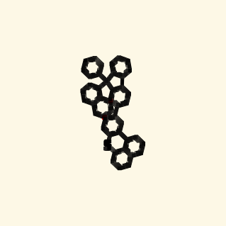 c1ccc(C2(c3cccc4ccccc34)c3ccccc3-c3ccc(-c4ccc5c(c4)-c4cccc6cccc(c46)S5)cc32)cc1